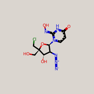 [N-]=[N+]=NC1[C@H](n2ccc(=O)[nH]/c2=N\O)O[C@@](CO)(CCl)[C@H]1O